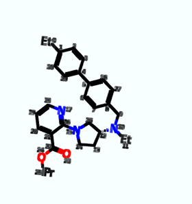 CCc1ccc(-c2ccc(CN(CC)[C@@H]3CCN(c4ncccc4C(=O)OC(C)C)C3)cc2)cc1